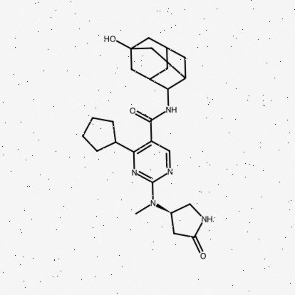 CN(c1ncc(C(=O)NC2C3CC4CC2CC(O)(C4)C3)c(C2CCCC2)n1)[C@H]1CNC(=O)C1